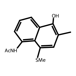 CSc1cc(C)c(O)c2cccc(NC(C)=O)c12